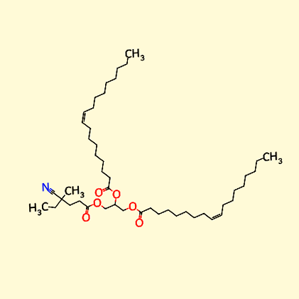 CCCCCCCC/C=C\CCCCCCCC(=O)OCC(COC(=O)CCC(C)(C#N)CC)OC(=O)CCCCCCC/C=C\CCCCCCCC